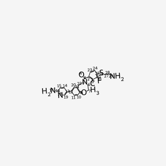 Cc1c(C(=O)N2CCOc3ccc(-c4ccc(N)nc4)cc3C2)ccc(SCCN)c1F